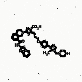 Cc1c(CN2CCNCC2)cnn1-c1ccc(OCCCc2sc(N3CCc4cccc(C(=O)Nc5nc6ccccc6s5)c4C3)nc2C(=O)O)cc1